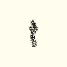 C1=CC2=CC=C(C3=CN4CC(c5ccc(-c6c7ccccc7c(-c7ccc8ccccc8c7)c7ccccc67)cc5)N=C4C=C3)CC2C=C1